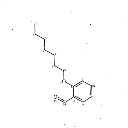 CCCCCCCOc1ccccc1[C]=O